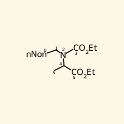 CCCCCCCCCCN(C(=O)OCC)C(C)C(=O)OCC